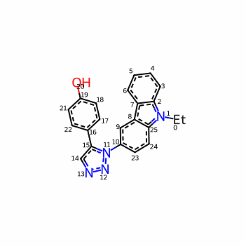 CCn1c2ccccc2c2cc(-n3nncc3-c3ccc(O)cc3)ccc21